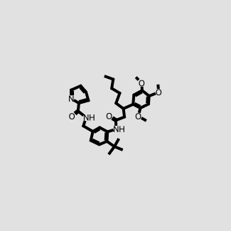 CCCCCC(CC(=O)Nc1cc(CNC(=O)c2ccccn2)ccc1C(C)(C)C)c1cc(OC)c(OC)cc1OC